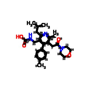 Cc1ccc(-c2c(CC(=O)N3CCOCC3)c(C)nc(CC(C)C)c2CNC(=O)O)cc1